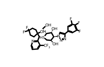 OC[C@@H]1[C@H](O)[C@@H](n2cc(-c3cc(F)c(F)c(F)c3)nn2)[C@@H](O)C[SH]1[C@H](c1ncccc1C(F)(F)F)C1(O)CCC(F)(F)CC1